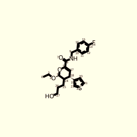 CCO[C@@H]1OC(C(=O)NCc2ccc(F)cc2)=C[C@H](c2ccsc2)C1CCCO